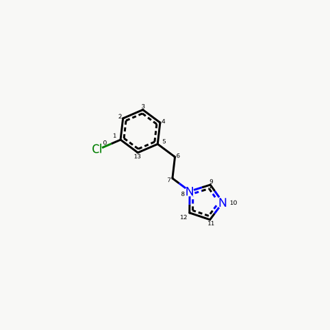 Clc1cccc(CCn2[c]ncc2)c1